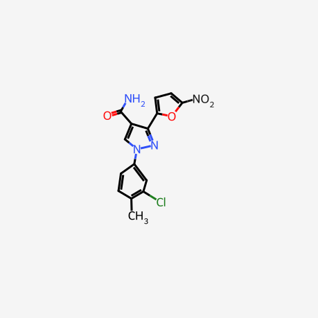 Cc1ccc(-n2cc(C(N)=O)c(-c3ccc([N+](=O)[O-])o3)n2)cc1Cl